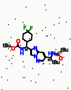 CC(C)(C)OC(=O)N[C@H](c1cn2ncc([C@@H](N[S@@+]([O-])C(C)(C)C)C(C)(C)C)cc2n1)C1CCC(F)(F)CC1